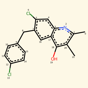 Cc1nc2cc(Cl)c(Cc3ccc(Cl)cc3)cc2c(O)c1C